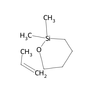 C=CC.C[Si]1(C)CCCCO1